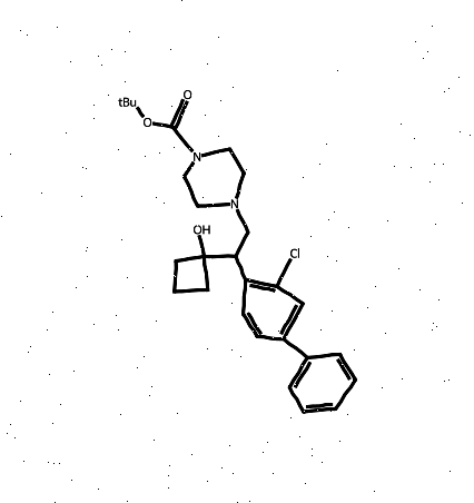 CC(C)(C)OC(=O)N1CCN(CC(c2ccc(-c3ccccc3)cc2Cl)C2(O)CCC2)CC1